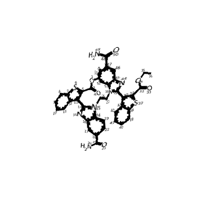 CCOC(=O)c1sc2ccccc2c1-c1nc2cc(C(N)=O)ccc2n1CCn1c(-c2c(C(=O)OCC)sc3ccccc23)nc2cc(C(N)=O)ccc21